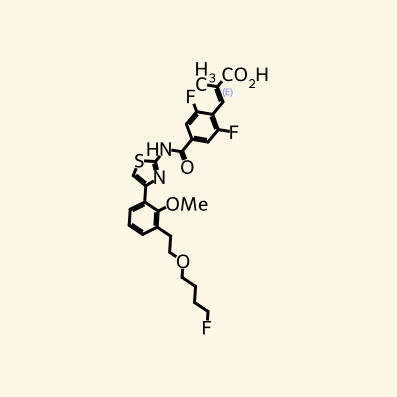 COc1c(CCOCCCCF)cccc1-c1csc(NC(=O)c2cc(F)c(/C=C(\C)C(=O)O)c(F)c2)n1